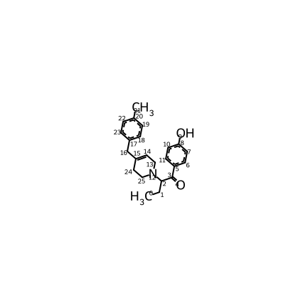 CCC(C(=O)c1ccc(O)cc1)N1CC=C(Cc2ccc(C)cc2)CC1